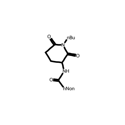 CCCCCCCCCC(=O)NC1CCC(=O)N(CCCC)C1=O